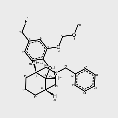 COCOc1cc(CF)ccc1O[C@H]1[C@@H]2CCC[C@H]1CN(Cc1ccccc1)C2